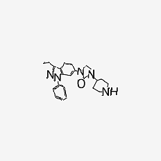 CCc1nn(-c2ccccc2)c2cc(N3CCN(C4CCNCC4)C3=O)ccc12